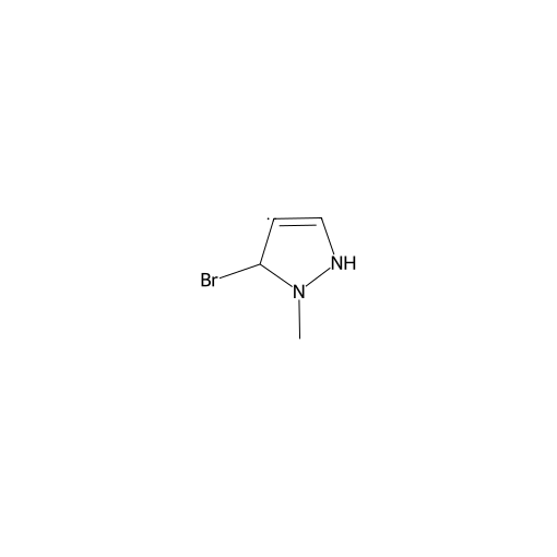 CN1NC=[C]C1Br